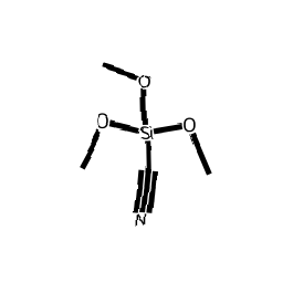 CO[Si](C#N)(OC)OC